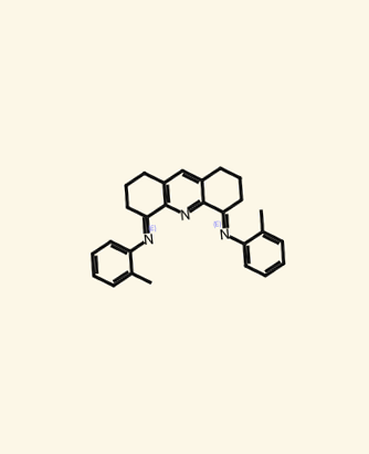 Cc1ccccc1/N=C1\CCCc2cc3c(nc21)/C(=N/c1ccccc1C)CCC3